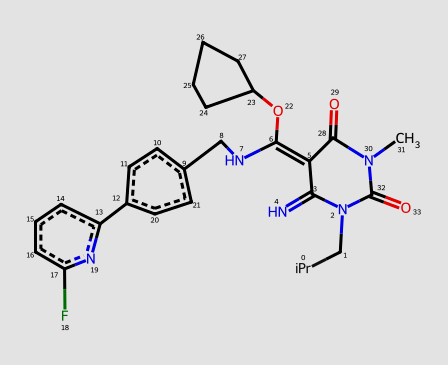 CC(C)CN1C(=N)/C(=C(\NCc2ccc(-c3cccc(F)n3)cc2)OC2CCCC2)C(=O)N(C)C1=O